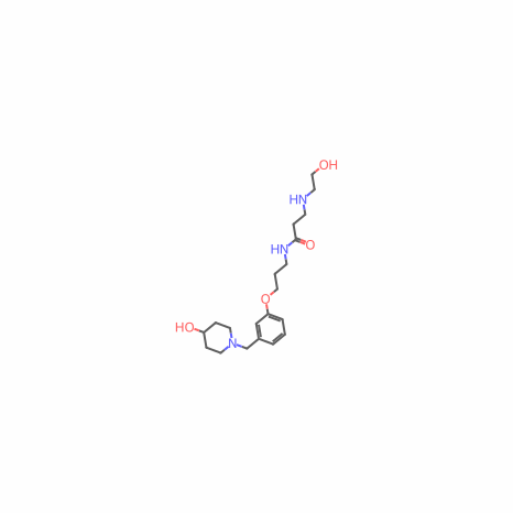 O=C(CCNCCO)NCCCOc1cccc(CN2CCC(O)CC2)c1